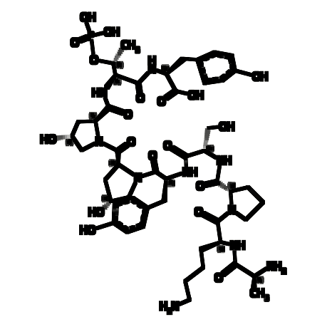 C[C@H](N)C(=O)N[C@@H](CCCCN)C(=O)N1CCC[C@H]1C(=O)N[C@@H](CO)C(=O)N[C@@H](Cc1ccc(O)cc1)C(=O)N1C[C@H](O)C[C@H]1C(=O)N1C[C@H](O)C[C@H]1C(=O)N[C@H](C(=O)N[C@@H](Cc1ccc(O)cc1)C(=O)O)[C@@H](C)OP(=O)(O)O